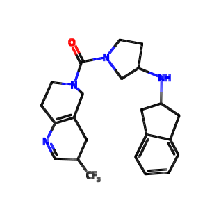 O=C(N1CCC2=C(CC(C(F)(F)F)C=N2)C1)N1CCC(NC2Cc3ccccc3C2)C1